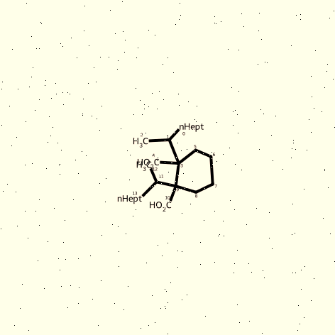 CCCCCCCC(C)C1(C(=O)O)CCCCC1(C(=O)O)C(C)CCCCCCC